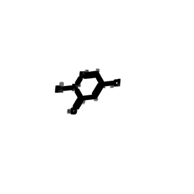 CCn1ncc(Cl)cc1=O